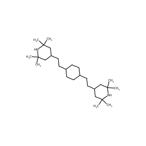 CC1(C)CC(CCC2CCC(CCC3CC(C)(C)NC(C)(C)C3)CC2)CC(C)(C)N1